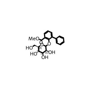 COC(=O)c1cccc(-c2ccccc2)c1OC1O[C@H](CO)[C@@H](O)[C@H](O)[C@@H]1O